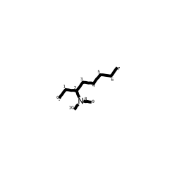 [CH2]CC(CCCCC)N(C)C